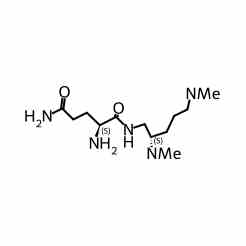 CNCCC[C@@H](CNC(=O)[C@@H](N)CCC(N)=O)NC